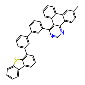 Cc1ccc2c(c1)c1ccccc1c1c(-c3cccc(-c4cccc(-c5cccc6c5sc5ccccc56)c4)c3)ncnc21